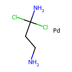 NCCC(N)(Cl)Cl.[Pd]